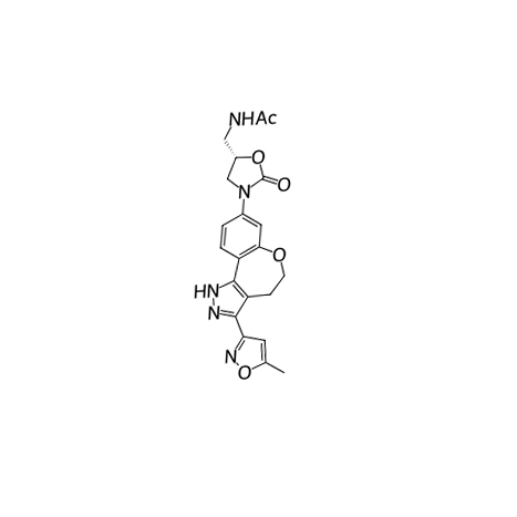 CC(=O)NC[C@H]1CN(c2ccc3c(c2)OCCc2c(-c4cc(C)on4)n[nH]c2-3)C(=O)O1